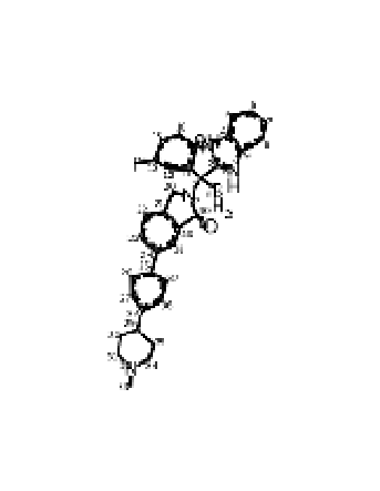 BC(c1nc2ccccc2[nH]1)(c1cc(F)ccc1O)N1Cc2ccc(-c3ccc(C4CCN(C)CC4)cc3)cc2C1=O